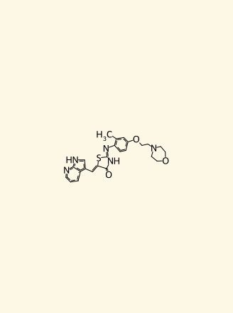 Cc1cc(OCCN2CCOCC2)ccc1N=C1NC(=O)C(=Cc2c[nH]c3ncccc23)S1